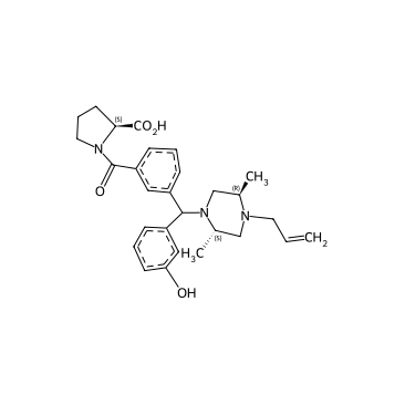 C=CCN1C[C@H](C)N(C(c2cccc(O)c2)c2cccc(C(=O)N3CCC[C@H]3C(=O)O)c2)C[C@H]1C